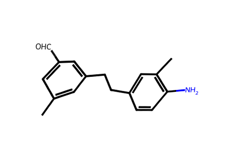 Cc1cc(C=O)cc(CCc2ccc(N)c(C)c2)c1